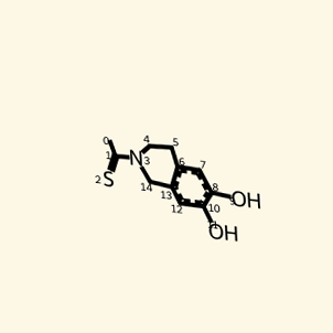 CC(=S)N1CCc2cc(O)c(O)cc2C1